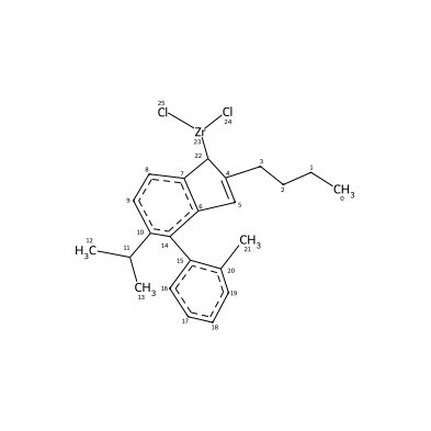 CCCCC1=Cc2c(ccc(C(C)C)c2-c2ccccc2C)[CH]1[Zr]([Cl])[Cl]